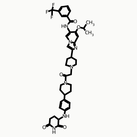 CC(C)Oc1cc2nc(C3CCN(CC(=O)N4CCC(c5ccc(NC6CCC(=O)NC6=O)cc5)CC4)CC3)cn2cc1NC(=O)c1cccc(C(F)(F)F)c1